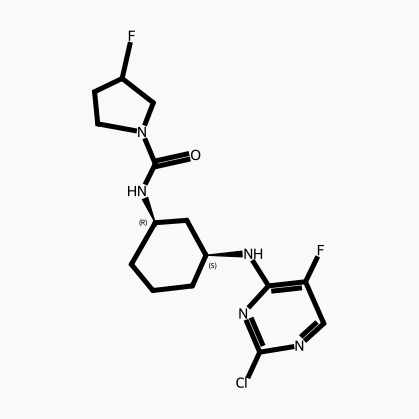 O=C(N[C@@H]1CCC[C@H](Nc2nc(Cl)ncc2F)C1)N1CCC(F)C1